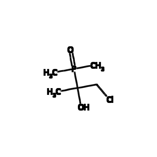 CC(O)(CCl)P(C)(C)=O